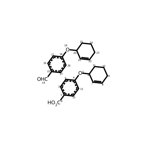 O=C(O)c1ccc(OC2C=CCCC2)cc1.O=Cc1ccc(OC2C=CCCC2)cc1